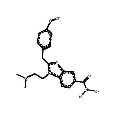 CCN(CC)C(=O)c1ccc2c(c1)nc(Cc1ccc(OC(F)(F)F)cc1)n2CCN(C)C